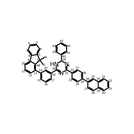 CC1(C)c2ccccc2-c2cccc(-c3cccc(C4=NC(c5ccc(-c6ccc7ccccc7c6)cc5)=NC(c5ccccc5)N4)c3)c21